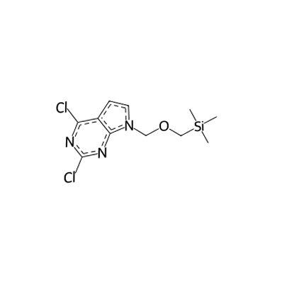 C[Si](C)(C)COCn1ccc2c(Cl)nc(Cl)nc21